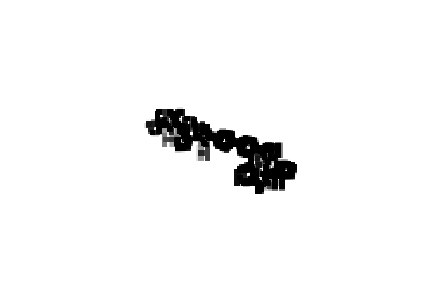 COC(=O)N[C@H](C(=O)N1CCC[C@H]1c1ncc(-c2ccc(-c3ccc(-c4cnc([C@@H]5C6CCC(C6)C5C(=O)NC(C)c5cccnc5)[nH]4)cc3)cc2)[nH]1)C(C)C